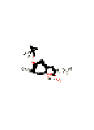 CCC(C)OC(=O)C(=Cc1ccc(OC)c(OCC2(C)CC2)c1)C(=O)O